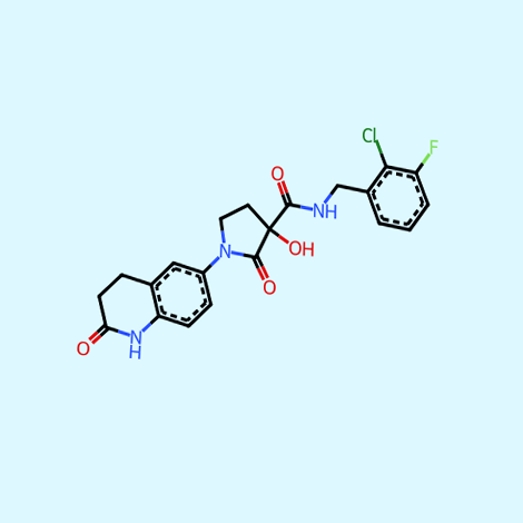 O=C1CCc2cc(N3CCC(O)(C(=O)NCc4cccc(F)c4Cl)C3=O)ccc2N1